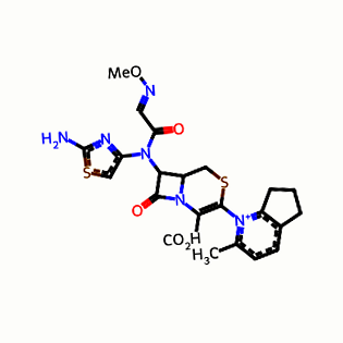 CON=CC(=O)N(c1csc(N)n1)C1C(=O)N2C(C(=O)O)=C([n+]3c(C)ccc4c3CCC4)SCC12